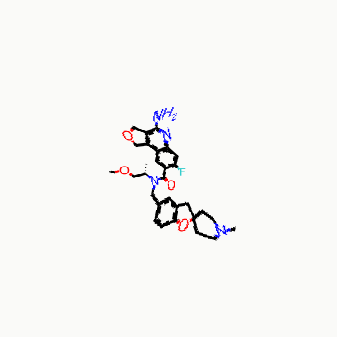 COC[C@H](C)N(Cc1ccc2c(c1)CC1(CCN(C)CC1)O2)C(=O)c1cc2c3c(c(N)nc2cc1F)COC3